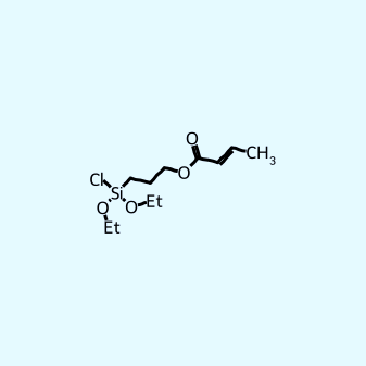 CC=CC(=O)OCCC[Si](Cl)(OCC)OCC